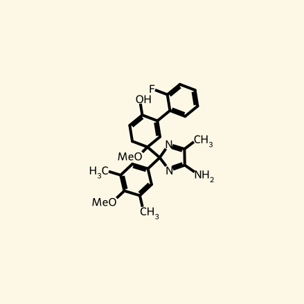 COc1c(C)cc(C2(C3(OC)C=C(c4ccccc4F)C(O)=CC3)N=C(C)C(N)=N2)cc1C